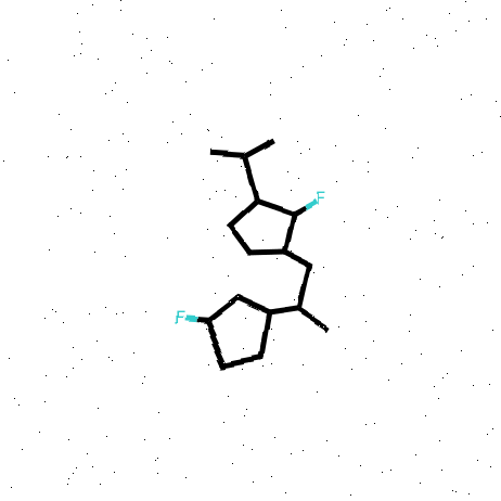 CC(C)C1CCC(CC(C)C2CCC(F)C2)C1F